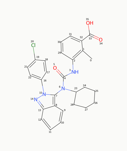 Cc1c(NC(=O)N(c2c3ccccc3nn2-c2ccc(Cl)cc2)C2CCCCC2)cccc1C(=O)O